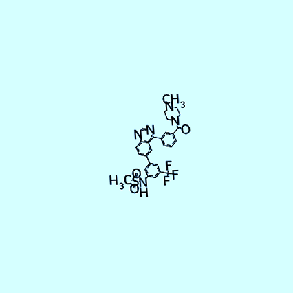 CN1CCN(C(=O)c2cccc(-c3ncnc4ccc(-c5cc(NS(C)(=O)=O)cc(C(F)(F)F)c5)cc34)c2)CC1